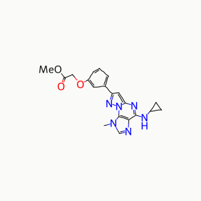 COC(=O)COc1cccc(-c2cc3nc(NC4CC4)c4ncn(C)c4n3n2)c1